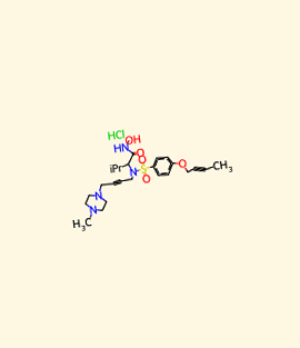 CC#CCOc1ccc(S(=O)(=O)N(CC#CCN2CCN(C)CC2)C(C(=O)NO)C(C)C)cc1.Cl